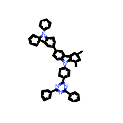 Cc1cc(C)c2c(c1)c1cc(-c3ccc4c(c3)c3ccccc3n4-c3ccccc3)ccc1n2-c1ccc(-c2nc(-c3ccccc3)nc(-c3ccccc3)n2)cc1